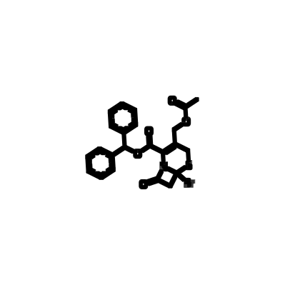 CC(=O)OCC1=C(C(=O)OC(c2ccccc2)c2ccccc2)N2C(=O)CC2(Br)SC1